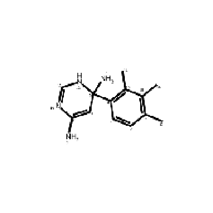 Cc1ccc(C2(N)C=C(N)N=CN2)c(C)c1C